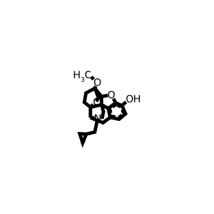 COC12CCC3(CC1)C1Cc4ccc(O)c5c4C3(CCN1CC1CC1)C2O5